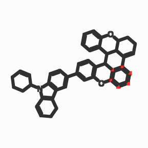 C1=CC(n2c3c(c4cc(-c5ccc6c(c5)Oc5ccccc5C6C5c6ccccc6OC6CCC=C(c7ccccc7)C65)ccc42)CCC=C3)CCC1